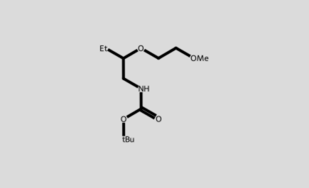 CCC(CNC(=O)OC(C)(C)C)OCCOC